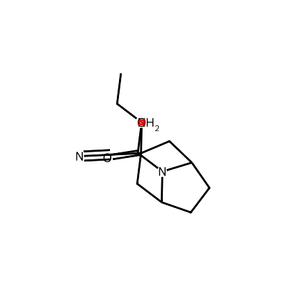 CCOC(=O)N1C2CCC1CC(N)(C#N)C2